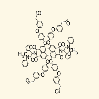 CN(C(=O)C(c1ccco1)N1C(=O)c2cc(Oc3ccc(Oc4cccc(CC5CO5)c4)cc3)c3c4c(Oc5ccc(Oc6cccc(CC7CO7)c6)cc5)cc5c6c(cc(Oc7ccc(Oc8cccc(CC9CO9)c8)cc7)c(c7c(Oc8ccc(Oc9cccc(CC%10CO%10)c9)cc8)cc(c2c37)C1=O)c64)C(=O)N(C(C(=O)N(C)c1ccccc1)c1ccco1)C5=O)c1ccccc1